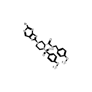 O=C(NCc1ccc(OC(F)(F)F)cc1)[C@H]1CN(c2nc3nc(Br)ncc3s2)CCN1S(=O)(=O)c1ccc(OC(F)(F)F)cc1